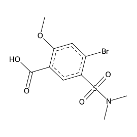 COc1cc(Br)c(S(=O)(=O)N(C)C)cc1C(=O)O